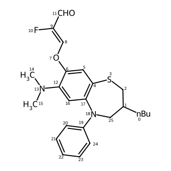 CCCCC1CSc2cc(O/C=C(\F)C=O)c(N(C)C)cc2N(c2ccccc2)C1